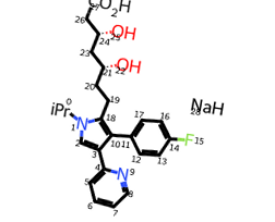 CC(C)n1cc(-c2ccccn2)c(-c2ccc(F)cc2)c1CC[C@@H](O)C[C@@H](O)CC(=O)O.[NaH]